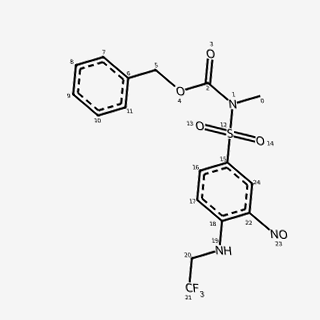 CN(C(=O)OCc1ccccc1)S(=O)(=O)c1ccc(NCC(F)(F)F)c(N=O)c1